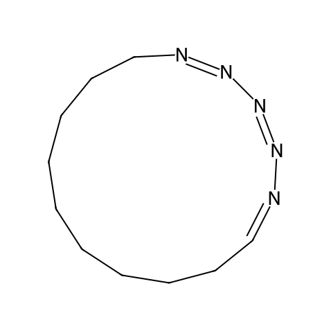 C1=NN=NN=NCCCCCCCCC1